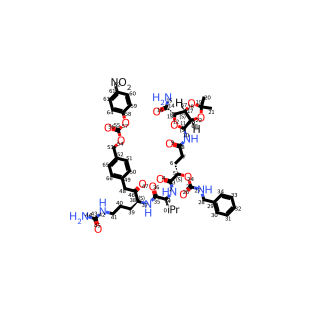 CC(C)[C@H](NC(=O)[C@H](CCC(=O)N[C@H]1O[C@H](C(N)=O)[C@H]2OC(C)(C)O[C@H]21)OC(=O)NCc1ccccc1)C(=O)N[C@@H](CCCNC(N)=O)C(=O)Cc1ccc(COC(=O)Oc2ccc([N+](=O)[O-])cc2)cc1